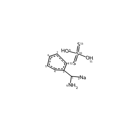 N[CH]([Na])c1ccccc1.OS(O)(=S)=S